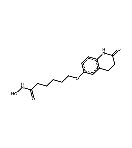 O=C(CCCCCOc1ccc2c(c1)CCC(=O)N2)NO